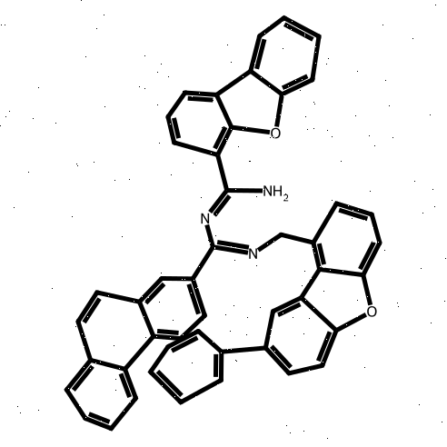 N/C(=N\C(=N/Cc1cccc2oc3ccc(-c4ccccc4)cc3c12)c1ccc2c(ccc3ccccc32)c1)c1cccc2c1oc1ccccc12